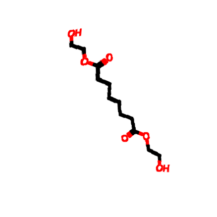 O=C(CCCCCCC(=O)OCCO)OCCO